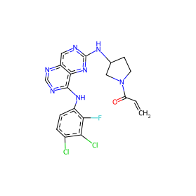 C=CC(=O)N1CCC(Nc2ncc3ncnc(Nc4ccc(Cl)c(Cl)c4F)c3n2)C1